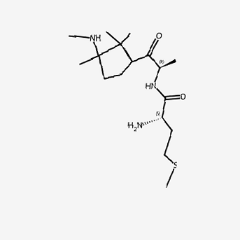 CNC1(C)CCC(C(=O)[C@@H](C)NC(=O)[C@@H](N)CCSC)C1(C)C